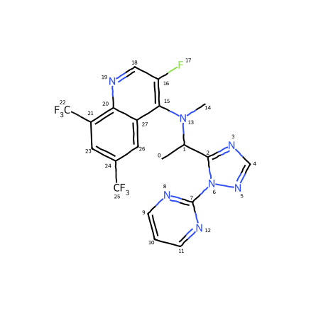 CC(c1ncnn1-c1ncccn1)N(C)c1c(F)cnc2c(C(F)(F)F)cc(C(F)(F)F)cc12